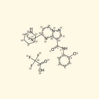 O=C(Nc1ccccc1Cl)c1cnn2ccc(N3CC4CCC3CN4)nc12.O=C(O)C(F)(F)F